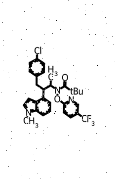 CC(C(Cc1ccc(Cl)cc1)c1cccc2c1ccn2C)N(Oc1ccc(C(F)(F)F)cn1)C(=O)C(C)(C)C